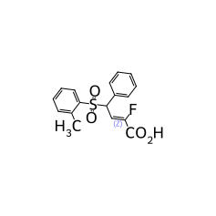 Cc1ccccc1S(=O)(=O)C(/C=C(\F)C(=O)O)c1ccccc1